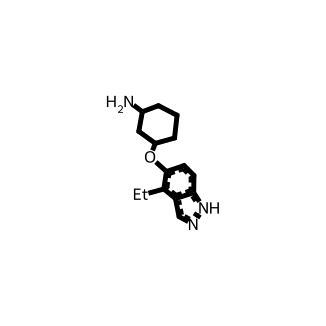 CCc1c(OC2CCCC(N)C2)ccc2[nH]ncc12